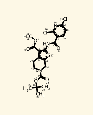 COC(=O)c1c(NC(=O)c2ccc(Cl)nc2Cl)sc2c1CCN(C(=O)OC(C)(C)C)C2